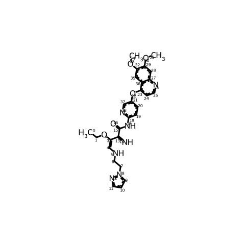 CCO/C(=C/NCCn1cccn1)C(=N)C(=O)Nc1ccc(Oc2ccnc3cc(OC)c(OC)cc23)cn1